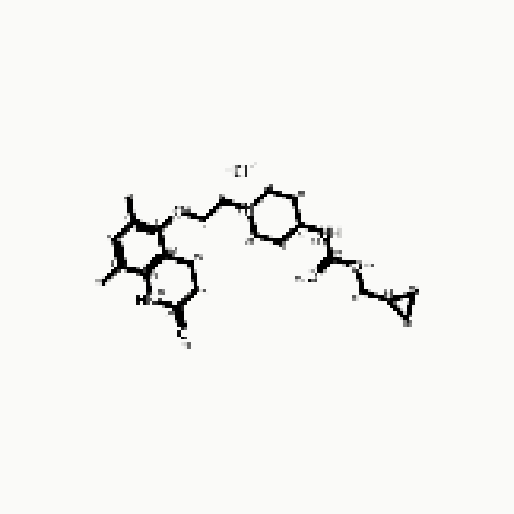 Cc1cc(C)c(OCCN2CCC(NC(=O)OCC3CC3)CC2)c2c1NC(=O)CC2.Cl